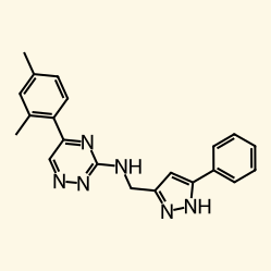 Cc1ccc(-c2cnnc(NCc3cc(-c4ccccc4)[nH]n3)n2)c(C)c1